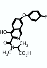 CC(C(=O)O)N(C)C(=O)c1ncc2cc(Oc3ccc(F)cc3)ccc2c1O